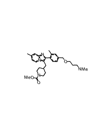 CNCCCOCc1ccc(-c2nc3cc(C)ccn3c2CC2CCN(C(=O)OC)CC2)c(C)c1